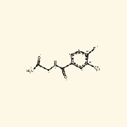 NC(=O)CNC(=O)c1ccc(F)c(C(F)(F)F)c1